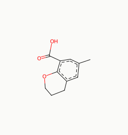 Cc1cc2c(c(C(=O)O)c1)OCCC2